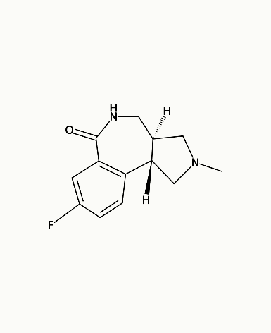 CN1C[C@@H]2CNC(=O)c3cc(F)ccc3[C@H]2C1